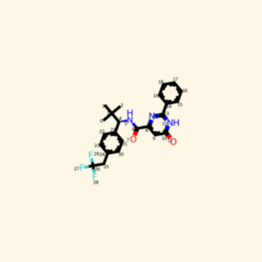 CC(C)(C)[C@@H](NC(=O)c1cc(=O)[nH]c(-c2ccccc2)n1)c1ccc(CC(F)(F)F)cc1